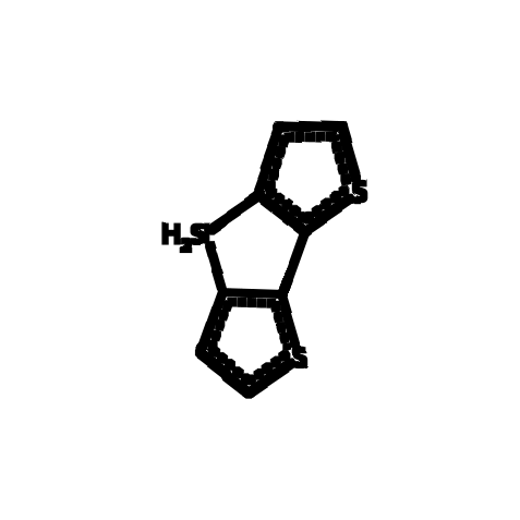 c1cc2c(s1)-c1sccc1[SiH2]2